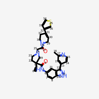 C#CC1(C(=O)Nc2ccc3[nH]nc(-c4ccnc(C)c4)c3c2)CCN(CC(=O)N2CC=C(c3ccsc3)CC2)C1